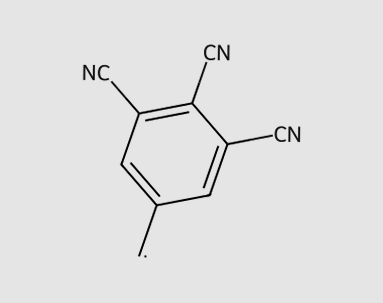 [CH2]c1cc(C#N)c(C#N)c(C#N)c1